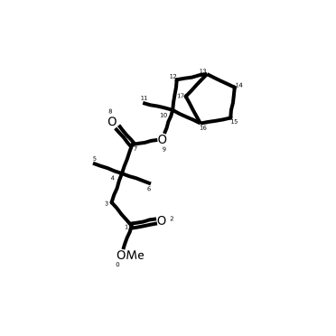 COC(=O)CC(C)(C)C(=O)OC1(C)CC2CCC1C2